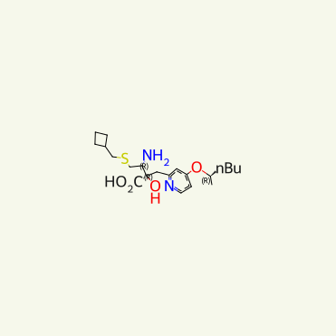 CCCC[C@@H](C)Oc1ccnc(C[C@](O)(C(=O)O)[C@@H](N)CSCC2CCC2)c1